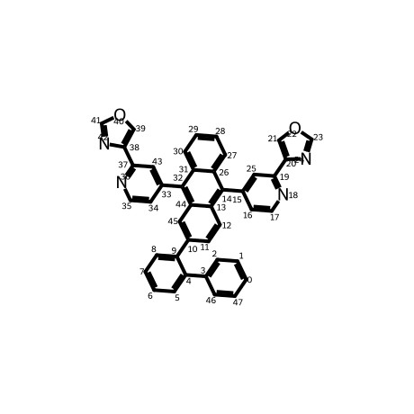 c1ccc(-c2ccccc2-c2ccc3c(-c4ccnc(-c5cocn5)c4)c4ccccc4c(-c4ccnc(-c5cocn5)c4)c3c2)cc1